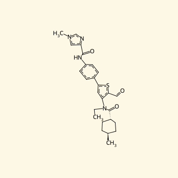 CCN(c1cc(-c2ccc(NC(=O)c3cn(C)cn3)cc2)sc1C=O)C(=O)[C@H]1CC[C@H](C)CC1